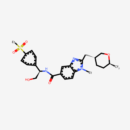 CCn1c(C[C@H]2CC[C@H](C(F)(F)F)OC2)nc2cc(C(=O)N[C@@H](CO)c3ccc(S(=O)(=O)CC)cc3)ccc21